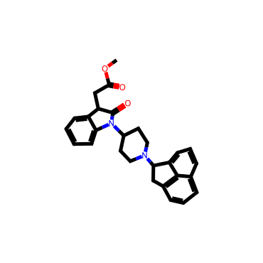 COC(=O)CC1C(=O)N(C2CCN(C3Cc4cccc5cccc3c45)CC2)c2ccccc21